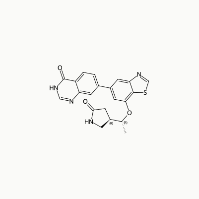 C[C@@H](Oc1cc(-c2ccc3c(=O)[nH]cnc3c2)cc2ncsc12)[C@H]1CNC(=O)C1